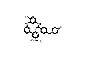 CCN1CCN(Cc2ccc(C(=O)Nc3cnc(C)c(Nc4nccc(-c5cccnc5)n4)c3)cc2)CC1.CS(=O)(=O)O